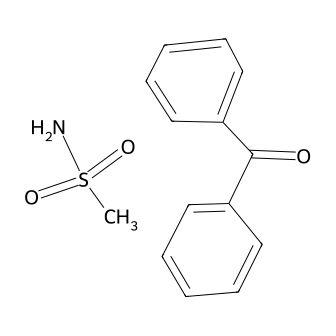 CS(N)(=O)=O.O=C(c1ccccc1)c1ccccc1